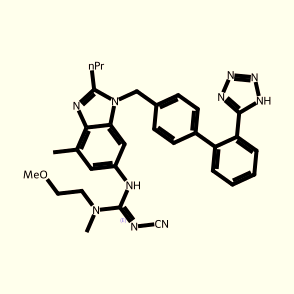 CCCc1nc2c(C)cc(N/C(=N\C#N)N(C)CCOC)cc2n1Cc1ccc(-c2ccccc2-c2nnn[nH]2)cc1